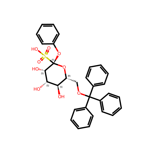 O=S(=O)(O)[C@]1(Oc2ccccc2)O[C@H](COC(c2ccccc2)(c2ccccc2)c2ccccc2)[C@@H](O)[C@H](O)[C@@H]1O